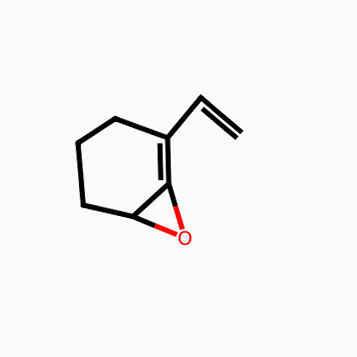 C=CC1=C2OC2CCC1